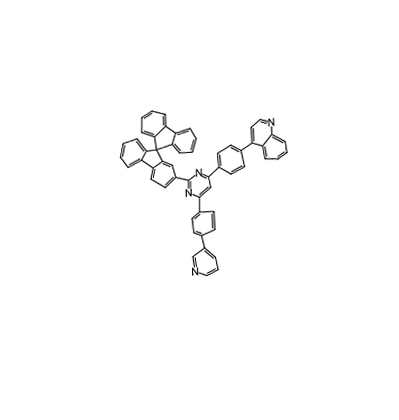 c1cncc(-c2ccc(-c3cc(-c4ccc(-c5ccnc6ccccc56)cc4)nc(-c4ccc5c(c4)C4(c6ccccc6-c6ccccc64)c4ccccc4-5)n3)cc2)c1